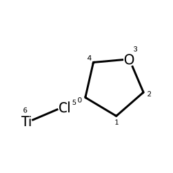 C1CCOC1.[Cl][Ti]